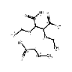 CCOC(C(=O)O)C(OCC)C(=O)O.CNCC(=O)O